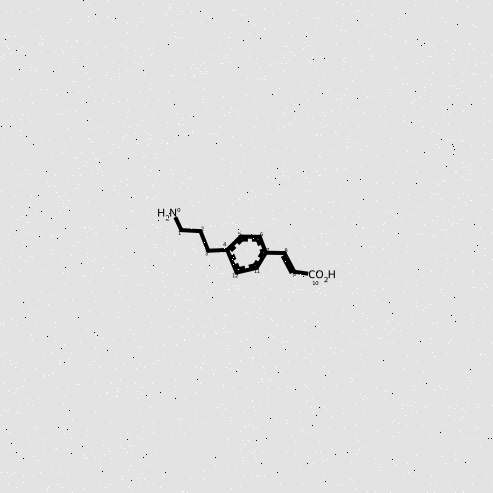 NCCCc1ccc(C=CC(=O)O)cc1